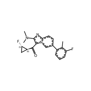 Cc1c(F)cccc1-c1ccc2nc(N(C)C)c(C(=O)[C@H]3C[C@@H]3F)n2c1